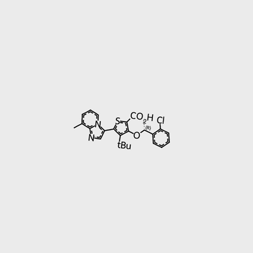 Cc1cccn2c(-c3sc(C(=O)O)c(O[C@H](C)c4ccccc4Cl)c3C(C)(C)C)cnc12